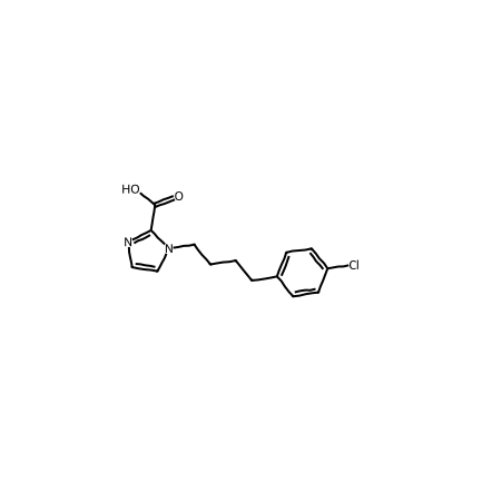 O=C(O)c1nccn1CCCCc1ccc(Cl)cc1